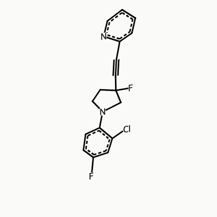 Fc1ccc(N2CCC(F)(C#Cc3ccccn3)C2)c(Cl)c1